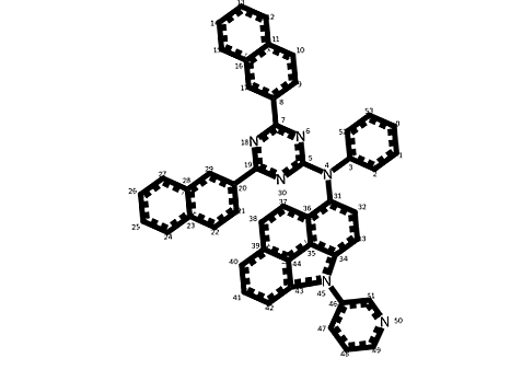 c1ccc(N(c2nc(-c3ccc4ccccc4c3)nc(-c3ccc4ccccc4c3)n2)c2ccc3c4c2ccc2cccc(c24)n3-c2cccnc2)cc1